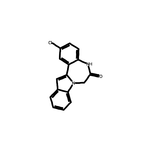 O=C1Cn2c(cc3ccccc32)-c2cc(Cl)ccc2N1